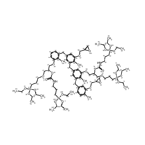 CCO[Si](CCCNC(=O)OC(COCCC[Si](OCC)(OCC)OCC)COc1cccc(Cc2cc(Cc3cc(Cc4ccc(C)c(OCC5CO5)c4)c(C)c(OCC(COCCC[Si](OCC)(OCC)OCC)OC(=O)NCCC[Si](OCC)(OCC)OCC)c3)c(C)c(OCC3CO3)c2)c1C)(OCC)OCC